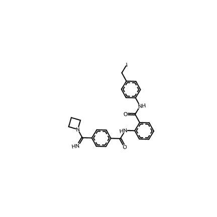 N=C(c1ccc(C(=O)Nc2ccccc2C(=O)Nc2ccc(CI)cc2)cc1)N1CCC1